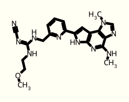 CNc1nc2[nH]c(-c3cccc(CN/C(=N\C#N)NCCOC)n3)cc2c2c1ncn2C